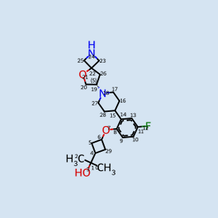 CC(C)(O)C1CC(Oc2ccc(F)cc2C2CCN([C@@H]3COC4(CNC4)C3)CC2)C1